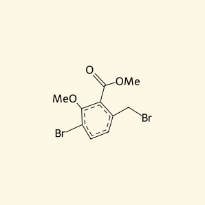 COC(=O)c1c(CBr)ccc(Br)c1OC